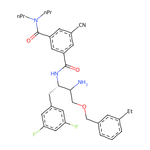 CCCN(CCC)C(=O)c1cc(C#N)cc(C(=O)N[C@@H](Cc2cc(F)cc(F)c2)C(N)COCc2cccc(CC)c2)c1